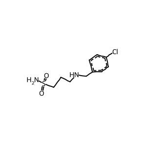 NS(=O)(=O)CCCNCc1ccc(Cl)cc1